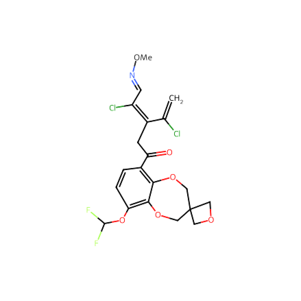 C=C(Cl)/C(CC(=O)c1ccc(OC(F)F)c2c1OCC1(COC1)CO2)=C(Cl)\C=N\OC